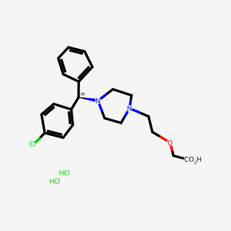 Cl.Cl.O=C(O)COCCN1CCN([C@H](c2ccccc2)c2ccc(Cl)cc2)CC1